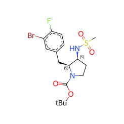 CC(C)(C)OC(=O)N1CC[C@H](NS(C)(=O)=O)[C@@H]1Cc1ccc(F)c(Br)c1